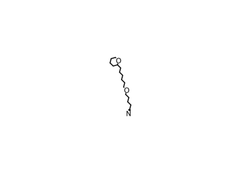 N#CCCCCOCCCCCCC1CCCCO1